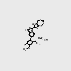 CCc1cc(OC)c(F)cc1-c1ccc2c(-c3nc4c([nH]3)CCNCC4)n[nH]c2c1.Cl.Cl.Cl